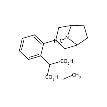 CI.CN1C2CCC1CC(c1ccccc1C(C(=O)O)C(=O)O)C2